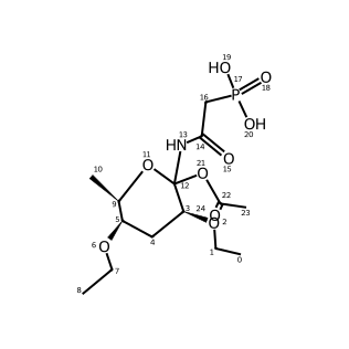 CCO[C@H]1C[C@@H](OCC)[C@@H](C)OC1(NC(=O)CP(=O)(O)O)OC(C)=O